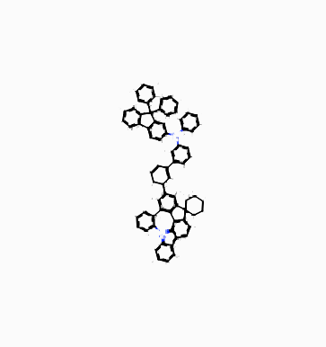 C1=CC(c2cccc(N(c3ccccc3)c3ccc4c(c3)C(c3ccccc3)(c3ccccc3)c3ccccc3-4)c2)=CC(c2cc3c4c(c2)C2(CCCCC2)c2ccc5c6ccccc6n(c5c2-4)-c2ccccc2-3)C1